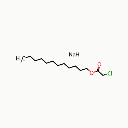 CCCCCCCCCCCCOC(=O)CCl.[NaH]